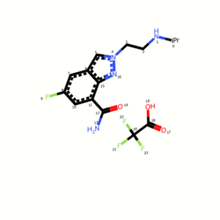 CC(C)NCCn1cc2cc(F)cc(C(N)=O)c2n1.O=C(O)C(F)(F)F